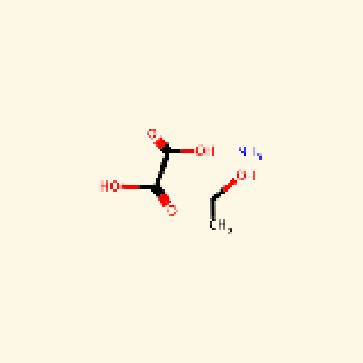 CCO.N.O=C(O)C(=O)O